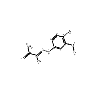 CCOc1cc(N/N=C(\C#N)C(N)=O)ccc1Br